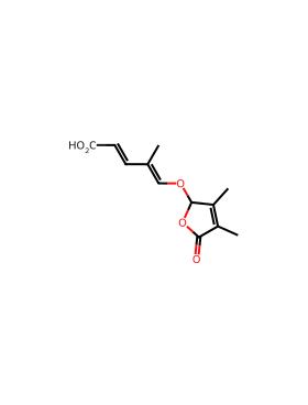 CC1=C(C)C(O/C=C(C)/C=C/C(=O)O)OC1=O